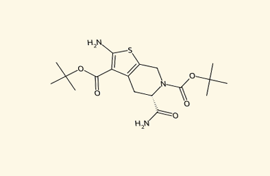 CC(C)(C)OC(=O)c1c(N)sc2c1C[C@@H](C(N)=O)N(C(=O)OC(C)(C)C)C2